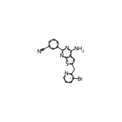 N#Cc1cccc(-c2nc(N)c3cc(Cc4ncccc4Br)sc3n2)c1